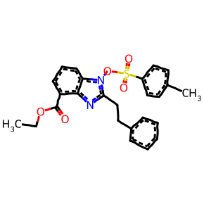 CCOC(=O)c1cccc2c1nc(CCc1ccccc1)n2OS(=O)(=O)c1ccc(C)cc1